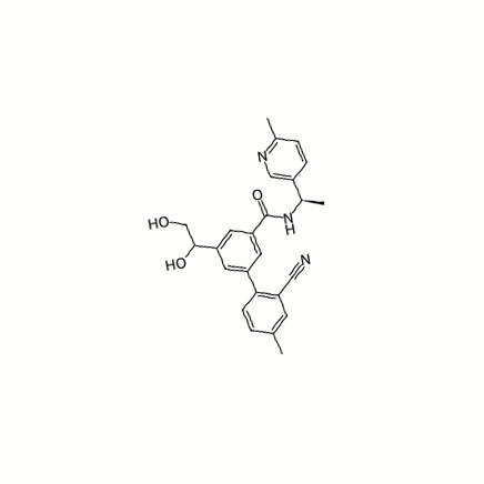 Cc1ccc(-c2cc(C(=O)N[C@H](C)c3ccc(C)nc3)cc(C(O)CO)c2)c(C#N)c1